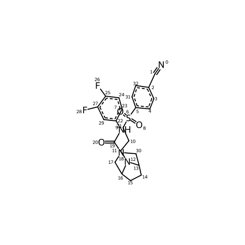 N#Cc1ccc(S(=O)(=O)CCCN2C3CCC2CN(C(=O)Nc2ccc(F)c(F)c2)C3)cc1